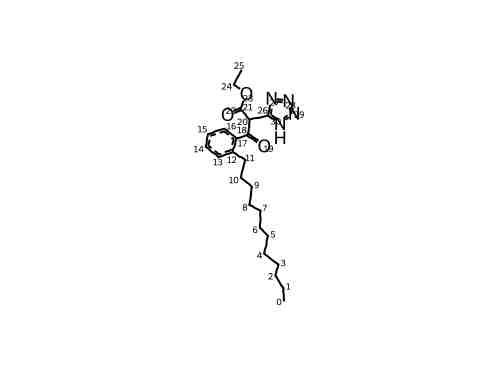 CCCCCCCCCCCCc1ccccc1C(=O)C(C(=O)OCC)c1nnn[nH]1